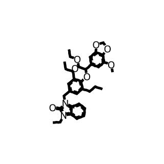 CCCc1cc(Cn2c(=O)n(CC)c3ccccc32)cc(CCC)c1OC(C(=O)OCC)c1cc(OC)c2c(c1)OCO2